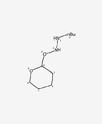 CCCCNNOC1CCCCO1